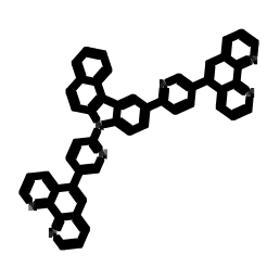 c1ccc2c(c1)ccc1c2c2cc(-c3ccc(-c4cc5cccnc5c5ncccc45)cn3)ccc2n1-c1ccc(-c2cc3cccnc3c3ncccc23)cn1